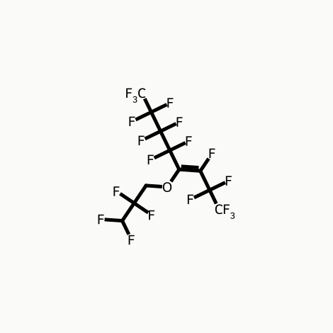 F/C(=C(/OCC(F)(F)C(F)F)C(F)(F)C(F)(F)C(F)(F)C(F)(F)F)C(F)(F)C(F)(F)F